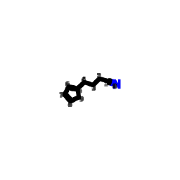 N#CCCCC1=CC=CC1